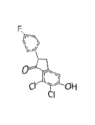 O=C1c2c(cc(O)c(Cl)c2Cl)CC1c1ccc(F)cc1